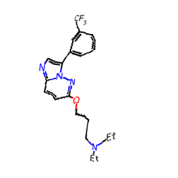 CCN(CC)CCCOc1ccc2ncc(-c3cccc(C(F)(F)F)c3)n2n1